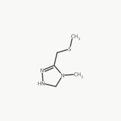 CSCC1=NNCN1C